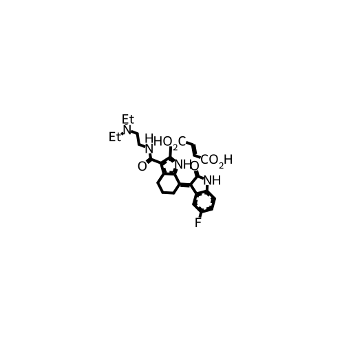 CCN(CC)CCNC(=O)c1c(C)[nH]c2c1CCCC2=C1C(=O)Nc2ccc(F)cc21.O=C(O)C=CC(=O)O